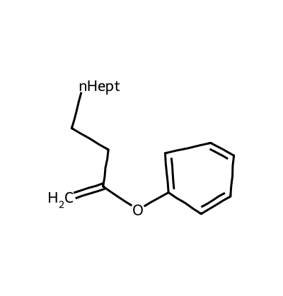 C=C(CCCCCCCCC)Oc1ccccc1